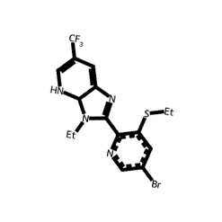 CCSc1cc(Br)cnc1C1=NC2=CC(C(F)(F)F)=CNC2N1CC